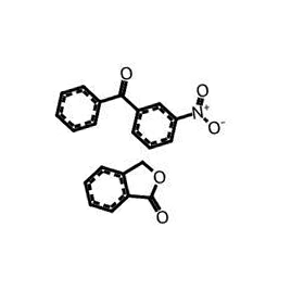 O=C(c1ccccc1)c1cccc([N+](=O)[O-])c1.O=C1OCc2ccccc21